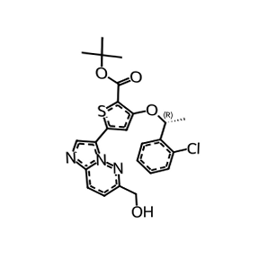 C[C@@H](Oc1cc(-c2cnc3ccc(CO)nn23)sc1C(=O)OC(C)(C)C)c1ccccc1Cl